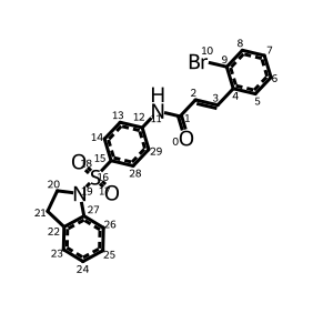 O=C(/C=C/c1ccccc1Br)Nc1ccc(S(=O)(=O)N2CCc3ccccc32)cc1